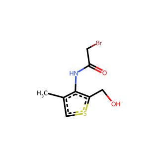 Cc1csc(CO)c1NC(=O)CBr